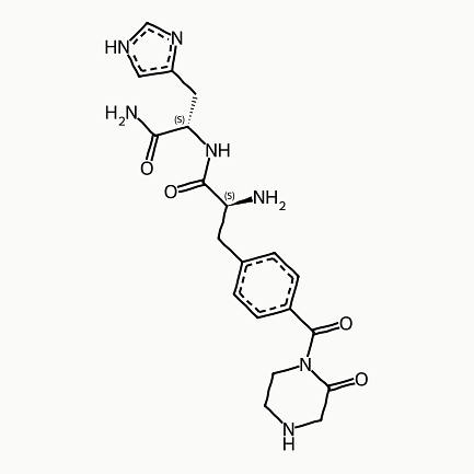 NC(=O)[C@H](Cc1c[nH]cn1)NC(=O)[C@@H](N)Cc1ccc(C(=O)N2CCNCC2=O)cc1